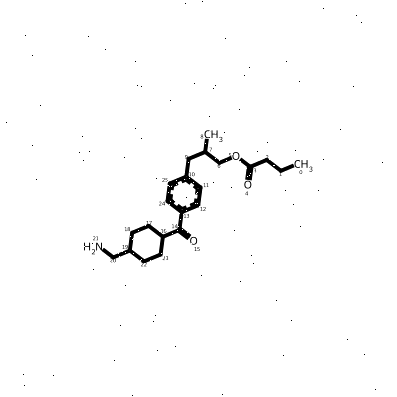 CCCC(=O)OCC(C)Cc1ccc(C(=O)C2CCC(CN)CC2)cc1